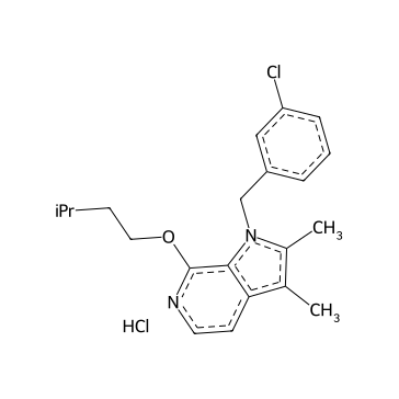 Cc1c(C)n(Cc2cccc(Cl)c2)c2c(OCCC(C)C)nccc12.Cl